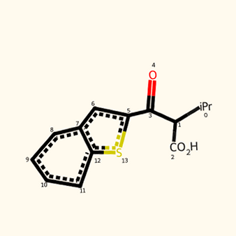 CC(C)C(C(=O)O)C(=O)c1cc2ccccc2s1